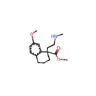 CNCCC1(C(=O)OC)CCCc2ccc(OC)cc21